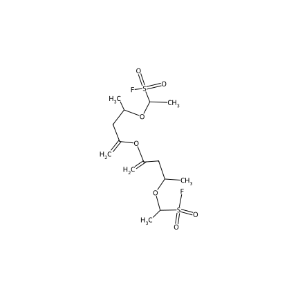 C=C(CC(C)OC(C)S(=O)(=O)F)OC(=C)CC(C)OC(C)S(=O)(=O)F